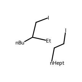 CCCCC(CC)CI.CCCCCCCCCI